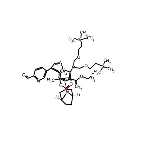 C=C(OCC)c1c([C@@H]2C[C@H]3CC[C@@H](C2)N3C(=O)OC(C)(C)C)nc2c(-c3ccc(C=O)nc3)cnn2c1N(COCC[Si](C)(C)C)COCC[Si](C)(C)C